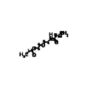 CCC(=O)OCCOCCNC(=O)COC